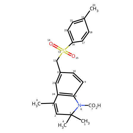 CC1=CC(C)(C)N(C(=O)O)c2ccc(CS(=O)(=O)c3ccc(C)cc3)cc21